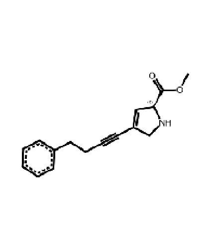 COC(=O)[C@@H]1C=C(C#CCCc2ccccc2)CN1